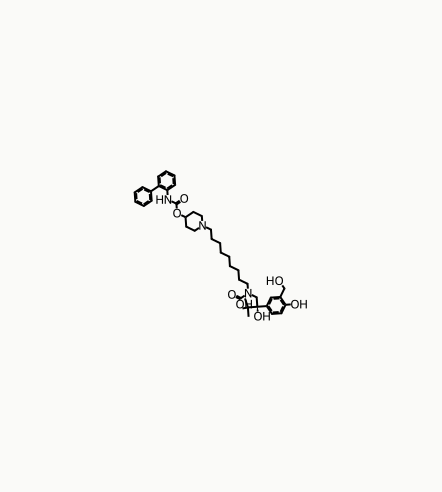 CC(C)(C)[C@](O)(CN(CCCCCCCCCN1CCC(OC(=O)Nc2ccccc2-c2ccccc2)CC1)C(=O)O)c1ccc(O)c(CO)c1